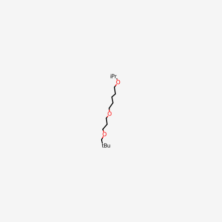 CC(C)OCCCCCOCCCOCC(C)(C)C